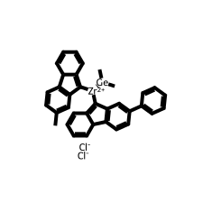 Cc1ccc2c(c1)[C]([Zr+2]([C]1=C3C=CC=CC3c3ccc(-c4ccccc4)cc31)=[Ge]([CH3])[CH3])=C1C=CC=CC12.[Cl-].[Cl-]